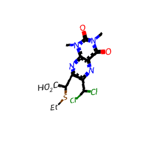 CCSC(C(=O)O)c1nc2c(nc1C(Cl)Cl)c(=O)n(C)c(=O)n2C